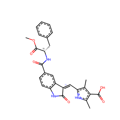 COC(=O)[C@H](Cc1ccccc1)NC(=O)c1ccc2c(c1)/C(=C/c1[nH]c(C)c(C(=O)O)c1C)C(=O)N2